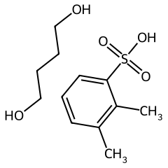 Cc1cccc(S(=O)(=O)O)c1C.OCCCCO